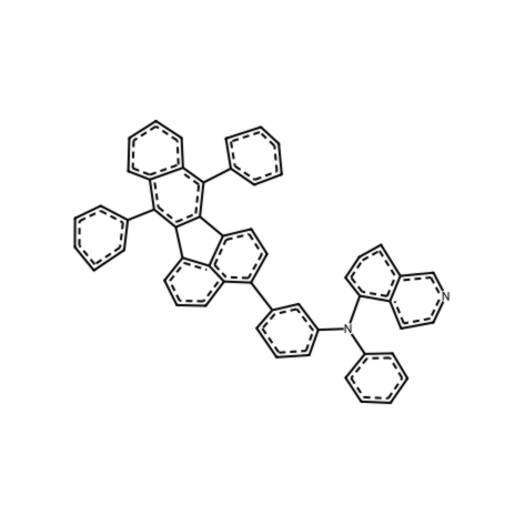 c1ccc(-c2c3c(c(-c4ccccc4)c4ccccc24)-c2ccc(-c4cccc(N(c5ccccc5)c5cccc6cnccc56)c4)c4cccc-3c24)cc1